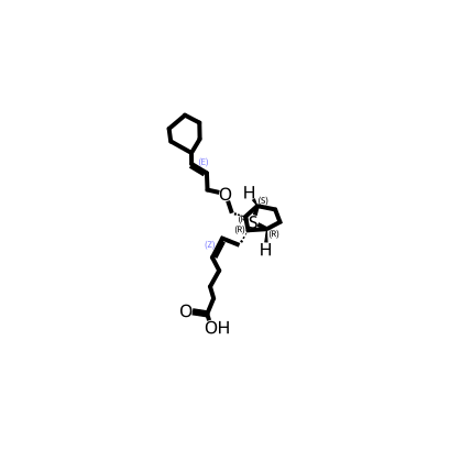 O=C(O)CCC/C=C\C[C@@H]1[C@H](COC/C=C/C2CCCCC2)[C@@H]2CC[C@H]1S2